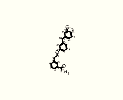 CC(=O)c1cccc(CCOc2cccc(Cc3cccc(C)c3)c2)c1